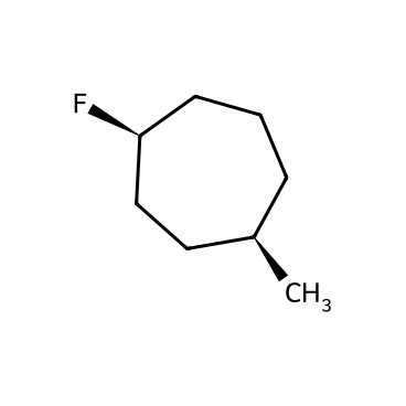 C[C@@H]1CCC[C@H](F)CC1